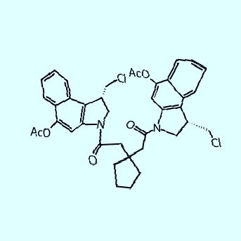 CC(=O)Oc1cc2c(c3ccccc13)[C@H](CCl)CN2C(=O)CC1(CC(=O)N2C[C@@H](CCl)c3c2cc(OC(C)=O)c2ccccc32)CCCC1